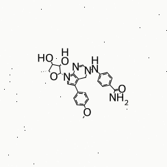 COc1ccc(-c2cn([C@@H]3O[C@H](C)[C@@H](O)[C@H]3O)c3c2CN(Nc2ccc(C(N)=O)cc2)C=N3)cc1